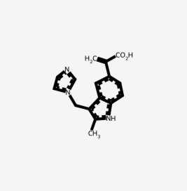 C=C(C(=O)O)c1ccc2[nH]c(C)c(Cn3ccnc3)c2c1